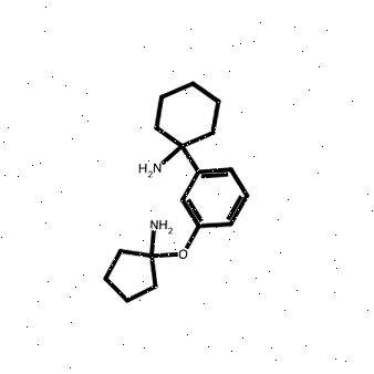 NC1(Oc2cccc(C3(N)CCCCC3)c2)CCCC1